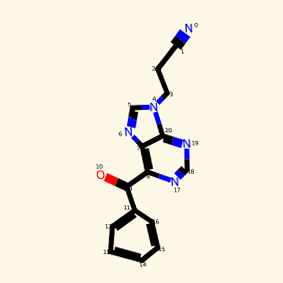 N#CCCn1cnc2c(C(=O)c3ccccc3)ncnc21